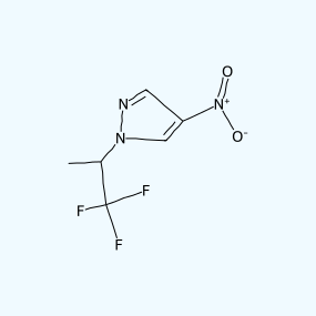 CC(n1cc([N+](=O)[O-])cn1)C(F)(F)F